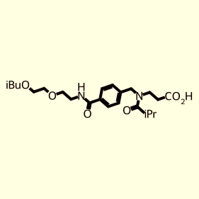 CC(C)COCCOCCNC(=O)c1ccc(CN(CCC(=O)O)C(=O)C(C)C)cc1